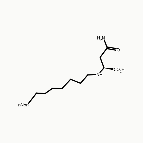 CCCCCCCCCCCCCCCCN[C@@H](CC(N)=O)C(=O)O